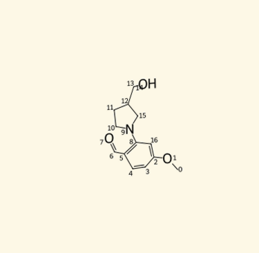 COc1ccc(C=O)c(N2CCC(CO)C2)c1